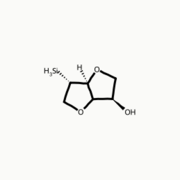 O[C@@H]1CO[C@H]2C1OC[C@@H]2[SiH3]